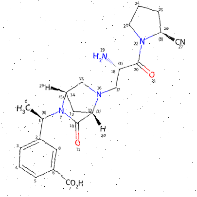 C[C@H](c1cccc(C(=O)O)c1)N1C(=O)[C@@H]2C[C@H]1CN2C[C@H](N)C(=O)N1CCC[C@H]1C#N